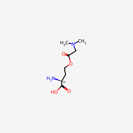 CN(C)CC(=O)OCC[C@H](N)C(=O)O